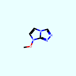 COn1ccn2cnnc12